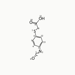 O=C=Nc1ccc(SCC(=O)O)cc1